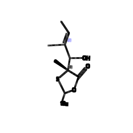 C/C=C(\C)C(O)[C@@]1(C)SC(C(C)(C)C)OC1=O